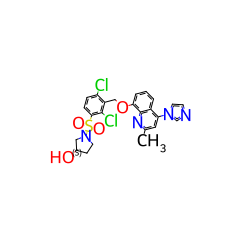 Cc1cc(-n2ccnc2)c2cccc(OCc3c(Cl)ccc(S(=O)(=O)N4CC[C@H](O)C4)c3Cl)c2n1